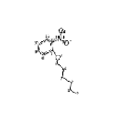 CCCCCCOc1ccccc1[N+](=O)[O-]